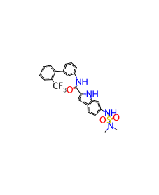 CN(C)S(=O)(=O)Nc1ccc2cc(C(=O)Nc3cccc(-c4ccccc4C(F)(F)F)c3)[nH]c2c1